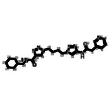 O=C(Cc1cccnc1)Nc1cn(CCCCn2cc(C(=O)NCC3CCCCC3)nn2)nn1